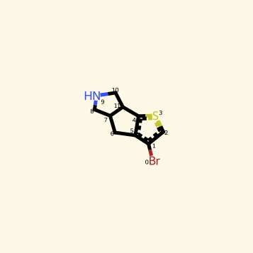 Brc1csc2c1CC1CNCC21